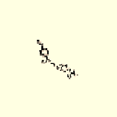 CC(C)(C)C(=O)CN1CC2CC(CN(CCCNC(=O)c3ccc(C#N)cc3)C2)C1